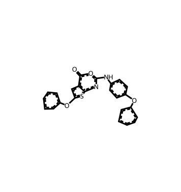 O=c1oc(Nc2ccc(Oc3ccccc3)cc2)nc2sc(Oc3ccccc3)cc12